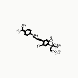 CCOC(=O)CN(C(=O)NC(C)C)c1cc(Cl)c(C#CCNc2ccc(C(=N)N)cc2)cc1C